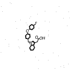 O=C(O)Cc1cn(Cc2ccc(Oc3ccc(F)cc3)cc2)c2ccccc12